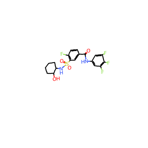 O=C(Nc1cc(F)c(F)c(F)c1)c1ccc(F)c(S(=O)(=O)NC2CCCCC2O)c1